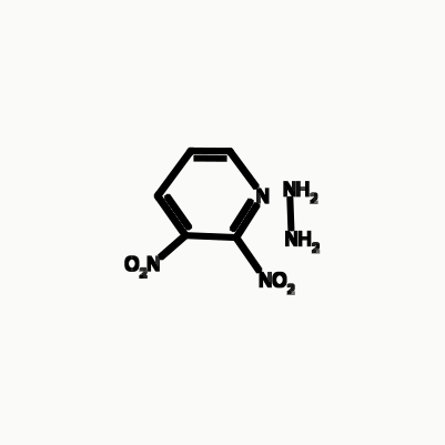 NN.O=[N+]([O-])c1cccnc1[N+](=O)[O-]